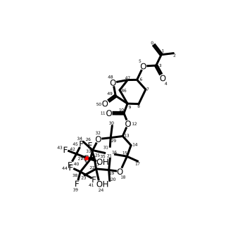 C=C(C)C(=O)OC1CCC2(C(=O)OC(CC(C)(C)OC(C)(C)C(C)(O)C(F)(F)F)C(C)(C)OC(C)(C)C(O)(C(F)(F)F)C(F)(F)F)CC1OC2=O